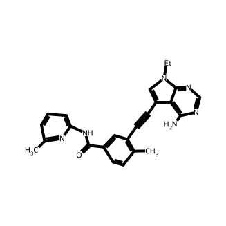 CCn1cc(C#Cc2cc(C(=O)Nc3cccc(C)n3)ccc2C)c2c(N)ncnc21